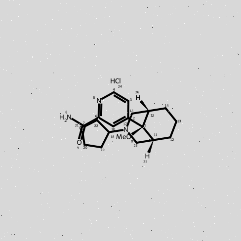 CO[C@]1(c2ccnc(C(N)=O)c2)[C@@H]2CCC[C@H]1CN(C1CCOC1)C2.Cl